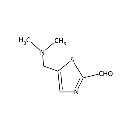 CN(C)Cc1cnc(C=O)s1